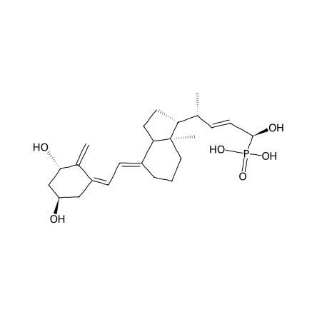 C=C1/C(=C\C=C2/CCC[C@@]3(C)C2CC[C@@H]3[C@H](C)/C=C/[C@@H](O)P(=O)(O)O)C[C@@H](O)C[C@@H]1O